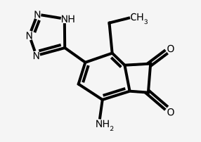 CCc1c(-c2nnn[nH]2)cc(N)c2c(=O)c(=O)c12